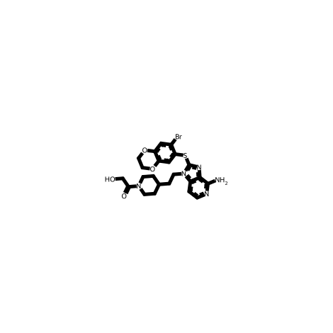 Nc1nccc2c1nc(Sc1cc3c(cc1Br)OCCO3)n2CCC1CCN(C(=O)CO)CC1